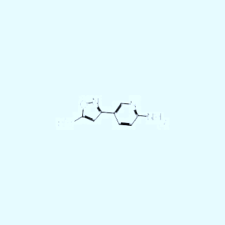 CCCc1cc(-c2ccc(N)nc2)no1